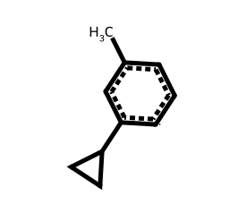 Cc1cc[c]c(C2CC2)c1